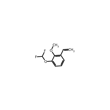 C=[C]c1cccc(OC(F)F)c1OC